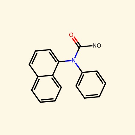 O=NC(=O)N(c1ccccc1)c1cccc2ccccc12